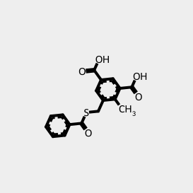 Cc1c(CSC(=O)c2ccccc2)cc(C(=O)O)cc1C(=O)O